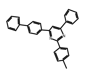 Cc1ccc(-c2nc(-c3ccccc3)cc(-c3ccc(-c4ccccc4)cc3)n2)cc1